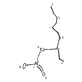 CCCCC(C)O[N+](=O)[O-]